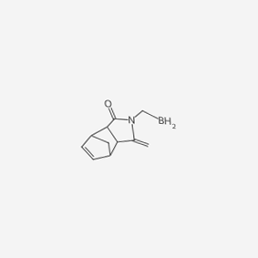 BCN1C(=C)C2C3C=CC(C3)C2C1=O